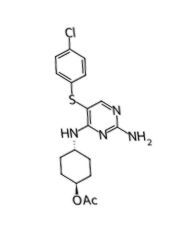 CC(=O)O[C@H]1CC[C@H](Nc2nc(N)ncc2Sc2ccc(Cl)cc2)CC1